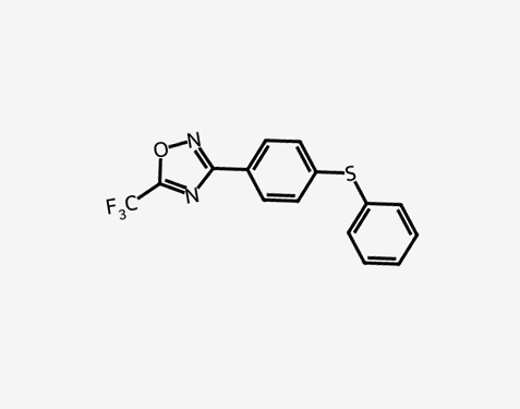 FC(F)(F)c1nc(-c2ccc(Sc3ccccc3)cc2)no1